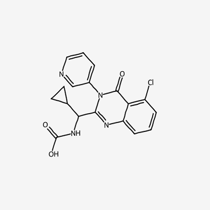 O=C(O)NC(c1nc2cccc(Cl)c2c(=O)n1-c1cccnc1)C1CC1